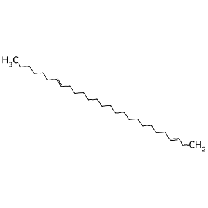 C=CC=CCCCCCCCCCCCCCCCC=CCCCCCC